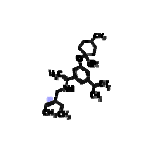 C=C/C(=C\C)CNC(=C)c1cc(OC2(CCC)CCC(C)CC2)cc(C(=C)C)c1